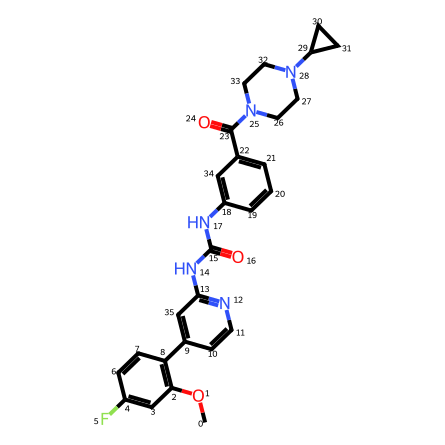 COc1cc(F)ccc1-c1ccnc(NC(=O)Nc2cccc(C(=O)N3CCN(C4CC4)CC3)c2)c1